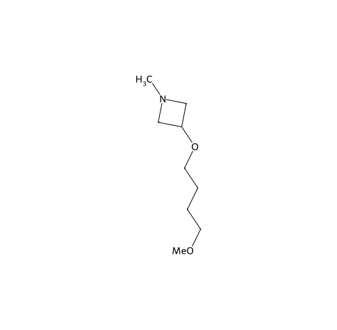 COCCCCOC1CN(C)C1